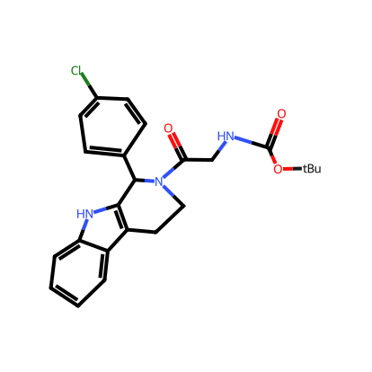 CC(C)(C)OC(=O)NCC(=O)N1CCc2c([nH]c3ccccc23)C1c1ccc(Cl)cc1